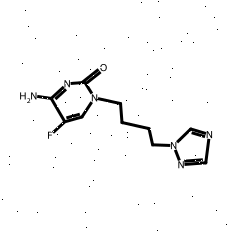 Nc1nc(=O)n(CCCCn2cncn2)cc1F